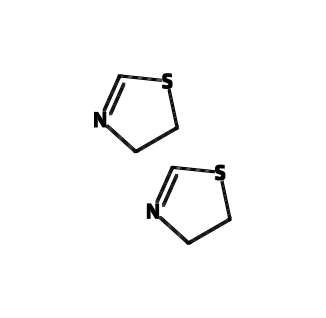 C1=NCCS1.C1=NCCS1